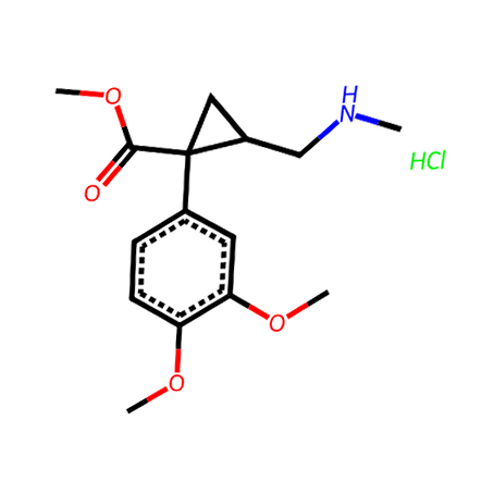 CNCC1CC1(C(=O)OC)c1ccc(OC)c(OC)c1.Cl